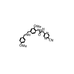 COc1ccc(CNCc2ccc(NC(=O)Nc3cnc(C#N)cn3)c(OC)c2)cc1